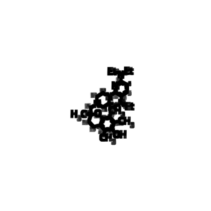 CCN(CC)c1ccc(N(CC)CC)c(N2CCN(CC3(C)CCc4c(C)c(O)c(C)c(C)c4O3)CC2)n1